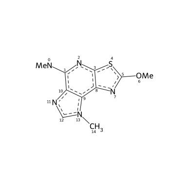 CNc1nc2sc(OC)nc2c2c1ncn2C